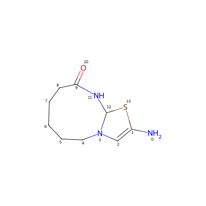 NC1=CN2CCCCCC(=O)NC2S1